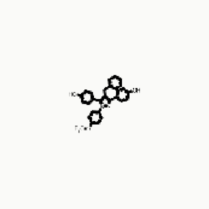 Oc1ccc(-c2nn(-c3ccc(OC(F)(F)F)cc3)c(-c3ccc(O)cc3)c2Cc2ccccc2)cc1